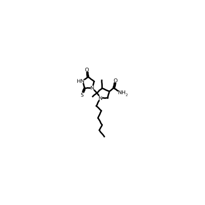 CCCCCCN1CC(C(N)=O)C(C)C1(C)N1CC(=O)NC1=S